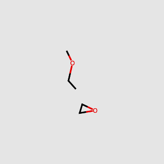 C1CO1.CCOC